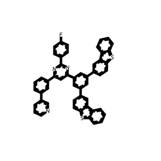 Fc1ccc(-c2nc(-c3cccc(-c4cccnc4)c3)cc(-c3cc(-c4ccc5sc6ccccc6c5c4)cc(-c4ccc5sc6ccccc6c5c4)c3)n2)cc1